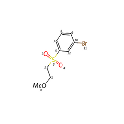 COCCS(=O)(=O)c1cccc(Br)c1